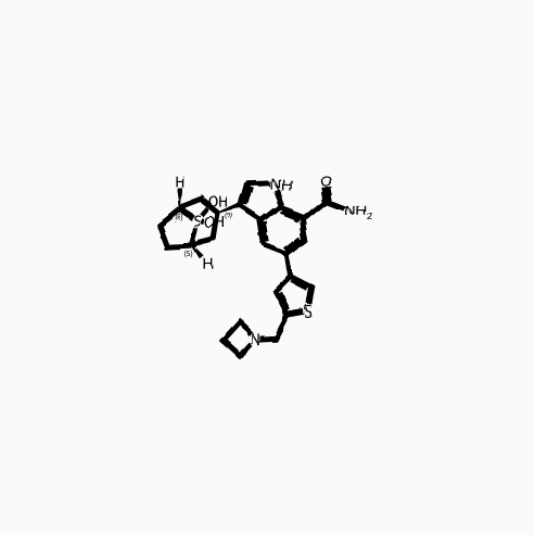 NC(=O)c1cc(-c2csc(CN3CCC3)c2)cc2c([C@@H]3C[C@H]4CC[C@@H](C3)S4(O)O)c[nH]c12